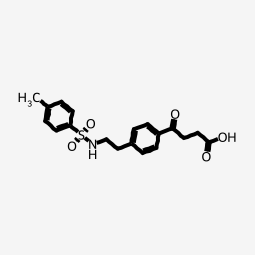 Cc1ccc(S(=O)(=O)NCCc2ccc(C(=O)CCC(=O)O)cc2)cc1